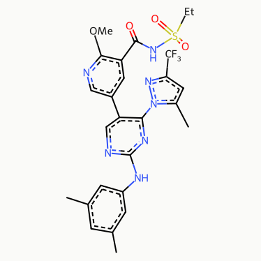 CCS(=O)(=O)NC(=O)c1cc(-c2cnc(Nc3cc(C)cc(C)c3)nc2-n2nc(C(F)(F)F)cc2C)cnc1OC